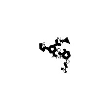 Cc1ccc(OCCN(C)C)cc1C(=O)N[C@H](C)c1cc(-c2cnn(C3CC3)c2)cc(-c2cccs2)c1